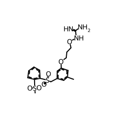 Cc1cc(CS(=O)(=O)c2ccccc2S(C)(=O)=O)cc(OCCCONC(=N)N)c1